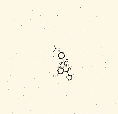 CC(C)Oc1ccc(S(=O)(=O)Nc2ncc(CI)cc2C(=O)c2cccs2)cc1